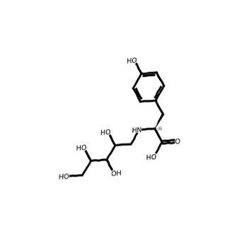 O=C(O)[C@H](Cc1ccc(O)cc1)NCC(O)C(O)C(O)CO